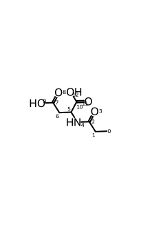 CCC(=O)NC(CC(=O)O)C(=O)O